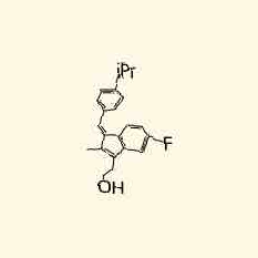 CC1=C(CCO)c2cc(F)ccc2C1=Cc1ccc(C(C)C)cc1